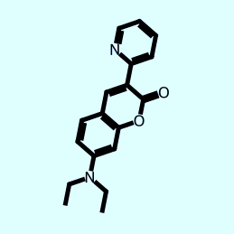 CCN(CC)c1ccc2cc(-c3ccccn3)c(=O)oc2c1